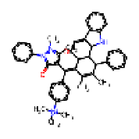 CC1=C(C)C(c2ccccc2)C2C3Nc4ccccc4C3=CC(=O)C2C1=C(c1ccc([N+](C)(C)C)cc1)c1c(C)n(C)n(-c2ccccc2)c1=O